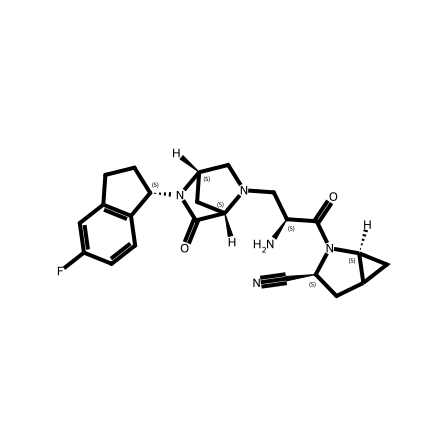 N#C[C@@H]1CC2C[C@@H]2N1C(=O)[C@@H](N)CN1C[C@@H]2C[C@H]1C(=O)N2[C@H]1CCc2cc(F)ccc21